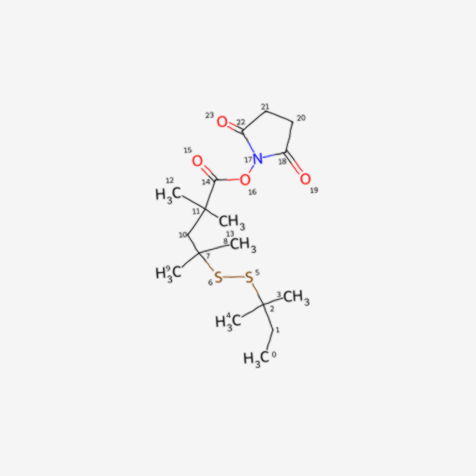 CCC(C)(C)SSC(C)(C)CC(C)(C)C(=O)ON1C(=O)CCC1=O